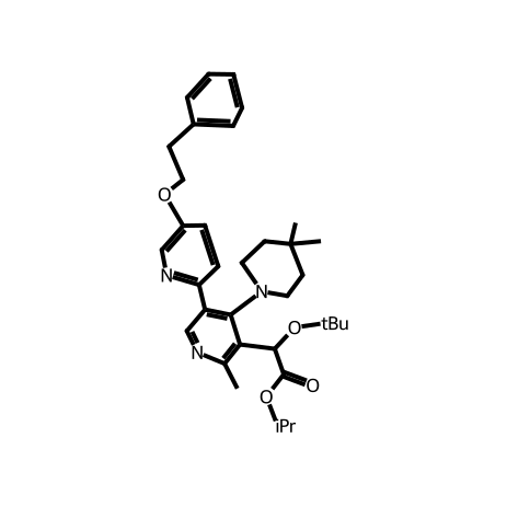 Cc1ncc(-c2ccc(OCCc3ccccc3)cn2)c(N2CCC(C)(C)CC2)c1C(OC(C)(C)C)C(=O)OC(C)C